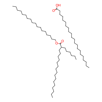 CCCCCCCCCCCCCCCCCCCCCC(=O)O.CCCCCCCCCCCCCCCCCCOC(=O)C(CCCCCC)CCCCCCCCCCCCCCCC